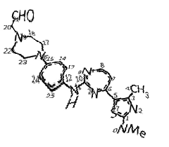 CNc1nc(C)c(-c2ccnc(Nc3ccc(N4CCN(CC=O)CC4)cc3)n2)s1